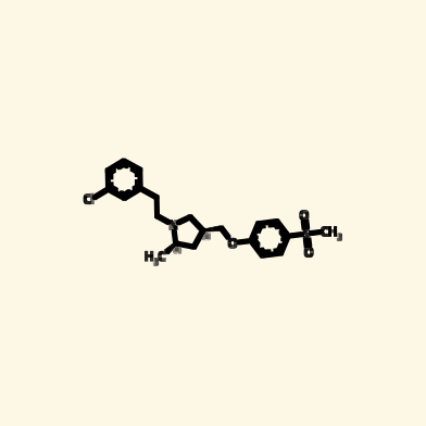 C[C@@H]1C[C@H](COc2ccc(S(C)(=O)=O)cc2)CN1CCc1cccc(Cl)c1